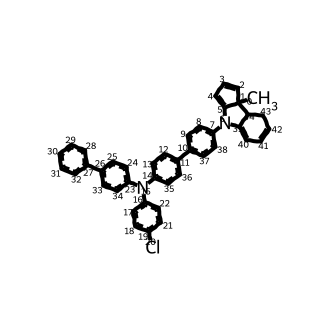 CC12C=CC=C1N(c1ccc(-c3ccc(N(c4ccc(Cl)cc4)c4ccc(-c5ccccc5)cc4)cc3)cc1)C1=CC=CCC12